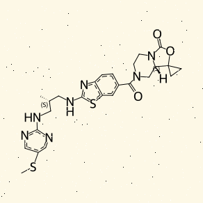 CSc1cnc(NC[C@H](C)CNc2nc3ccc(C(=O)N4CCN5C(=O)OC6(CC6)[C@@H]5C4)cc3s2)nc1